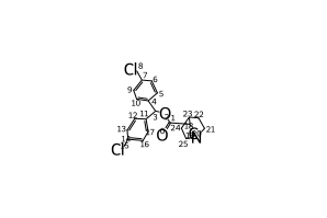 O=C(OC(c1ccc(Cl)cc1)c1ccc(Cl)cc1)C1CN2CCC1CC2